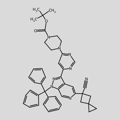 CC(C)(C)OC(=O)N1CCN(c2cc(-c3nn(C(c4ccccc4)(c4ccccc4)c4ccccc4)c4cnc(C5(C#N)CC6(CC6)C5)cc34)ncn2)CC1